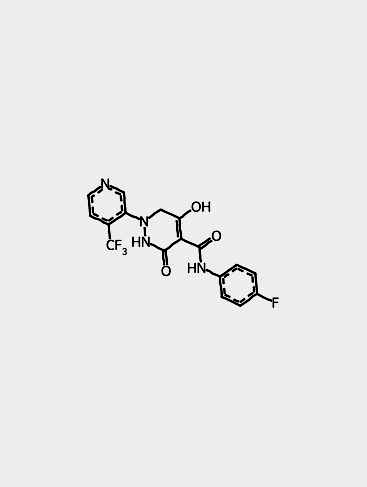 O=C(Nc1ccc(F)cc1)C1=C(O)CN(c2cnccc2C(F)(F)F)NC1=O